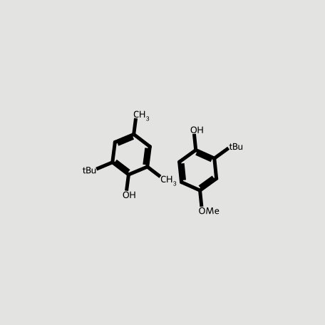 COc1ccc(O)c(C(C)(C)C)c1.Cc1cc(C)c(O)c(C(C)(C)C)c1